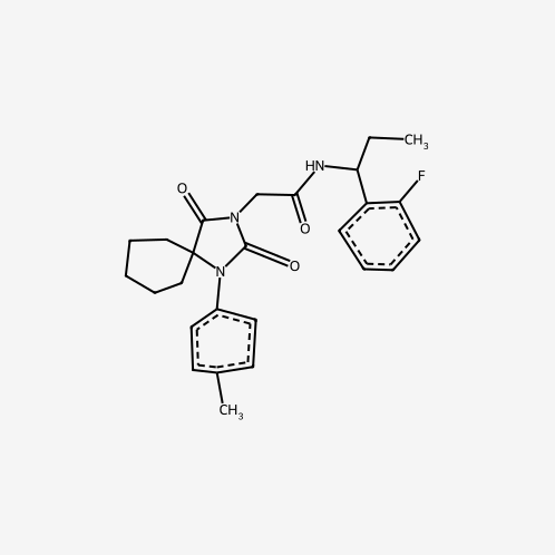 CCC(NC(=O)CN1C(=O)N(c2ccc(C)cc2)C2(CCCCC2)C1=O)c1ccccc1F